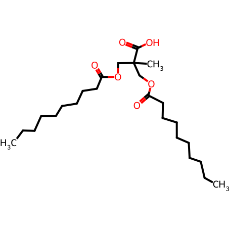 CCCCCCCCCC(=O)OCC(C)(COC(=O)CCCCCCCCC)C(=O)O